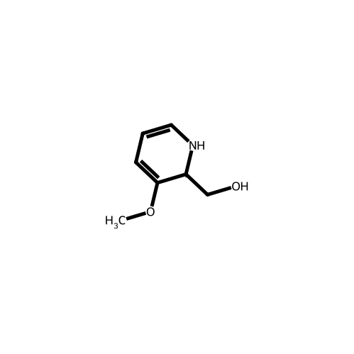 COC1=CC=CN[C]1CO